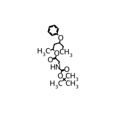 CCC(CC(C)OC(=O)CNC(=O)OC(C)(C)C)Oc1ccccc1